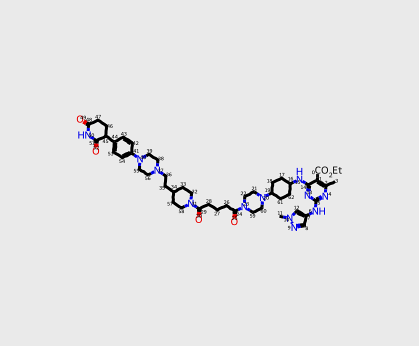 CCOC(=O)c1c(C)nc(Nc2cnn(C)c2)nc1NC1CCC(N2CCN(C(=O)CCCC(=O)N3CCC(CCN4CCN(c5ccc(C6CCC(=O)NC6=O)cc5)CC4)CC3)CC2)CC1